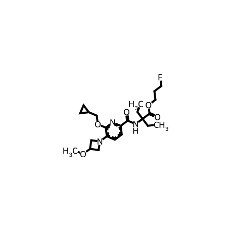 CCC(CC)(NC(=O)c1ccc(N2CC(OC)C2)c(OCC2CC2)n1)C(=O)OCCCF